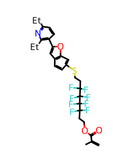 C=C(C)C(=O)OCCC(F)(F)C(F)(F)C(F)(F)C(F)(F)CCSc1ccc2cc(-c3ccc(CC)nc3CC)oc2c1